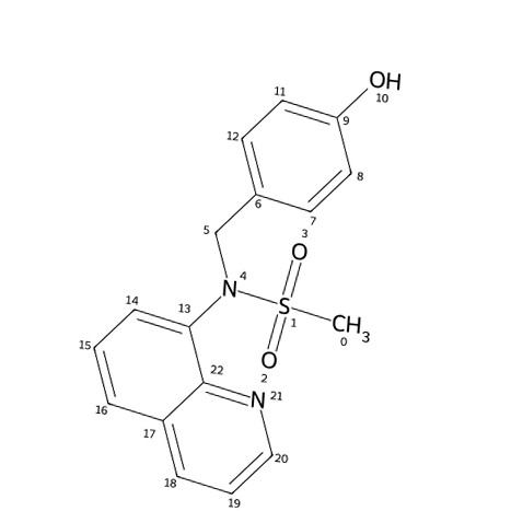 CS(=O)(=O)N(Cc1ccc(O)cc1)c1cccc2cccnc12